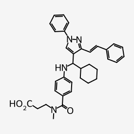 CN(CCC(=O)O)C(=O)c1ccc(NC(c2cn(-c3ccccc3)nc2C=Cc2ccccc2)C2CCCCC2)cc1